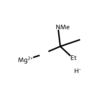 CCC(C)(C)[N-]C.[CH3][Mg+2].[H-]